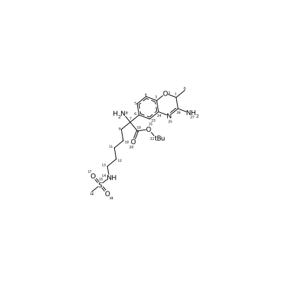 CC1Oc2ccc(C(N)(CCCCCNS(C)(=O)=O)C(=O)OC(C)(C)C)cc2N=C1N